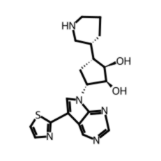 O[C@@H]1[C@H](O)[C@@H]([C@H]2CCCNC2)C[C@H]1n1cc(-c2nccs2)c2cncnc21